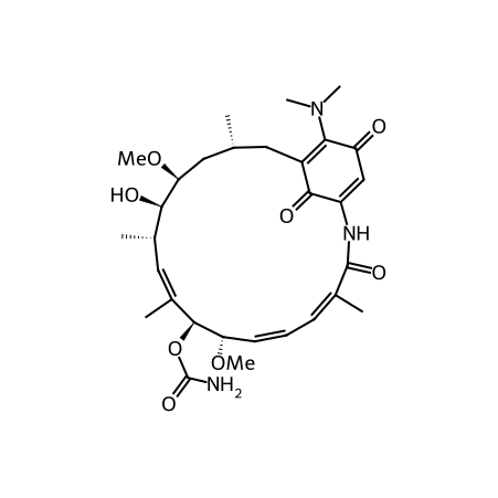 CO[C@H]1C=CC=C(C)C(=O)NC2=CC(=O)C(N(C)C)=C(C[C@@H](C)C[C@H](OC)[C@H](O)[C@@H](C)C=C(C)[C@@H]1OC(N)=O)C2=O